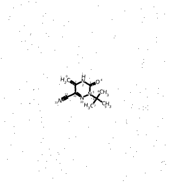 C=C1NC(=O)N(C(C)(C)C)N=C1C#N